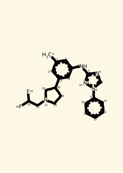 Cc1cc(Nc2ncn(-c3ccccc3)n2)cc(C2CCN(CC(F)F)C2)c1